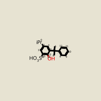 CC(C)c1cc(C(C)(C)c2ccccc2)c(O)c(S(=O)(=O)O)c1